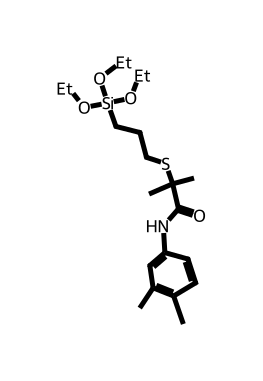 CCO[Si](CCCSC(C)(C)C(=O)Nc1ccc(C)c(C)c1)(OCC)OCC